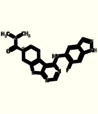 CN(C)C(=O)[C@H]1CCc2c(sc3ncnc(Nc4cc5cn[nH]c5cc4F)c23)C1